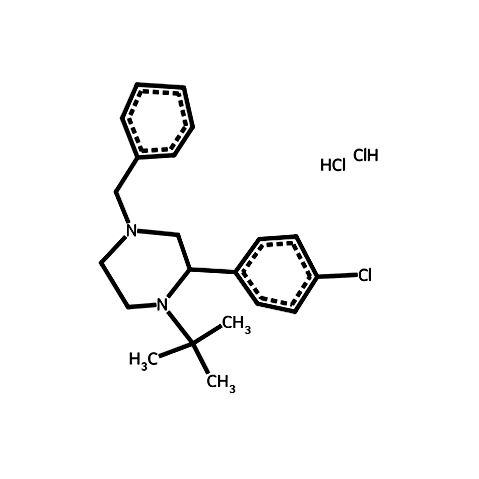 CC(C)(C)N1CCN(Cc2ccccc2)CC1c1ccc(Cl)cc1.Cl.Cl